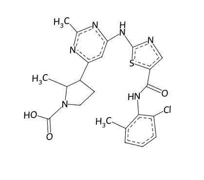 Cc1nc(Nc2ncc(C(=O)Nc3c(C)cccc3Cl)s2)cc(C2CCN(C(=O)O)C2C)n1